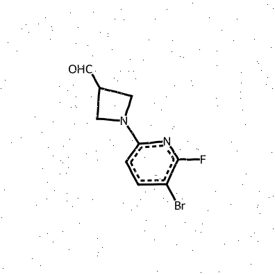 O=CC1CN(c2ccc(Br)c(F)n2)C1